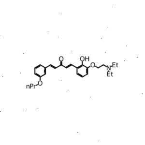 CCCOc1cccc(/C=C/C(=O)/C=C/c2cccc(OCCN(CC)CC)c2O)c1